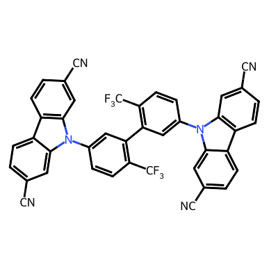 N#Cc1ccc2c3ccc(C#N)cc3n(-c3ccc(C(F)(F)F)c(-c4cc(-n5c6cc(C#N)ccc6c6ccc(C#N)cc65)ccc4C(F)(F)F)c3)c2c1